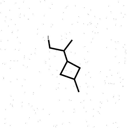 CC1CC(C(C)CI)C1